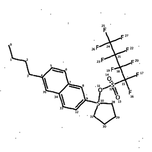 CCCCc1ccc2cc(S3(OS(=O)(=O)C(F)(F)C(F)(F)C(F)(F)C(F)(F)F)CCCC3)ccc2c1